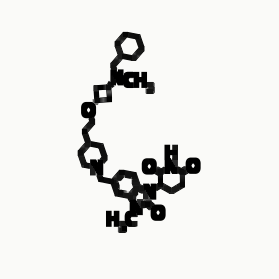 Cn1c(=O)n(C2CCC(=O)NC2=O)c2ccc(CN3CCC(CCO[C@H]4C[C@H](N(C)CC5CCCCC5)C4)CC3)cc21